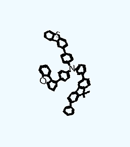 CC1(C)c2ccc(-c3cccc(N(c4ccc(-c5ccc6sc7ccccc7c6c5)cc4)c4ccc(-c5cccc6oc7ccccc7c56)cc4)c3)cc2-c2ccc(-c3ccccc3)cc21